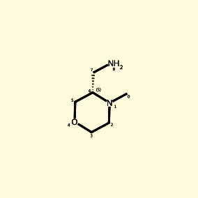 CN1CCOC[C@@H]1CN